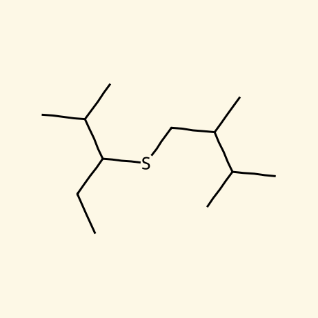 CCC(SCC(C)C(C)C)C(C)C